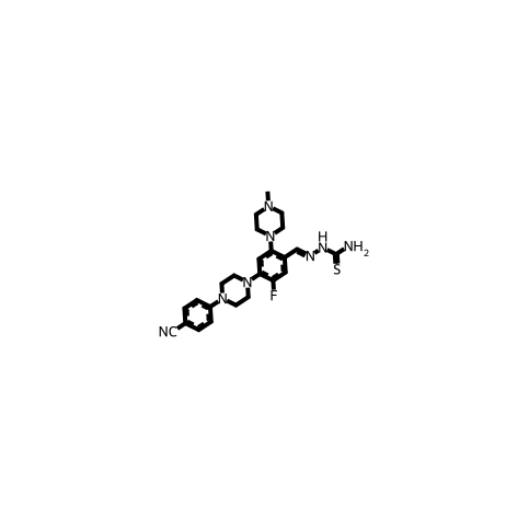 CN1CCN(c2cc(N3CCN(c4ccc(C#N)cc4)CC3)c(F)cc2/C=N/NC(N)=S)CC1